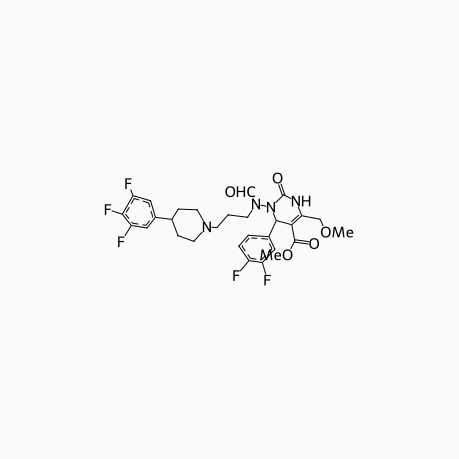 COCC1=C(C(=O)OC)C(c2ccc(F)c(F)c2)N(N(C=O)CCCN2CCC(c3cc(F)c(F)c(F)c3)CC2)C(=O)N1